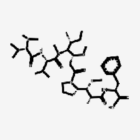 CC[C@@H](C)[C@@H]([C@@H](CC(=O)N1CCC[C@H]1[C@H](OC)[C@@H](C)C(=O)N[C@@H](Cc1ccccc1)C(=O)O)OC)N(C)C(=O)[C@@H](NC(=O)[C@H](C(C)C)N(C)C)C(C)C